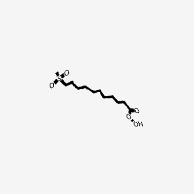 CS(=O)(=O)CCCCCCCCCCC(=O)OO